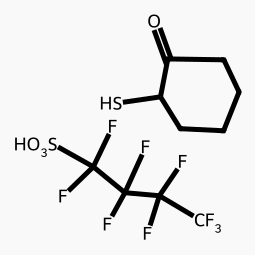 O=C1CCCCC1S.O=S(=O)(O)C(F)(F)C(F)(F)C(F)(F)C(F)(F)F